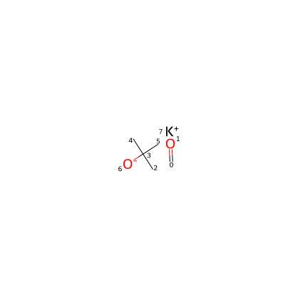 C=O.CC(C)(C)[O-].[K+]